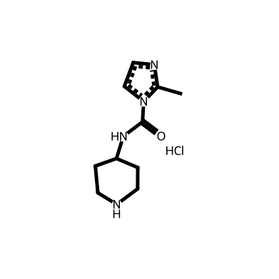 Cc1nccn1C(=O)NC1CCNCC1.Cl